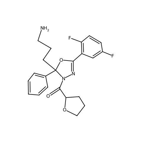 NCCCC1(c2ccccc2)OC(c2cc(F)ccc2F)=NN1C(=O)C1CCCO1